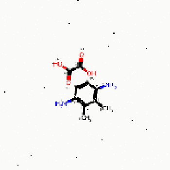 Cc1c(N)ccc(N)c1C.O=C(O)C(=O)O